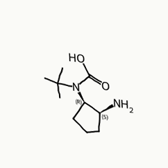 CC(C)(C)N(C(=O)O)[C@@H]1CCC[C@@H]1N